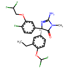 CCc1cc([C@]2(c3ccc(F)c(OCC(F)F)c3)N=C(N)N(C)C2=O)ccc1OC(F)F